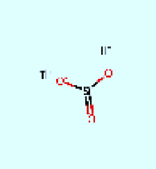 O=[Si]([O-])[O-].[Tl+].[Tl+]